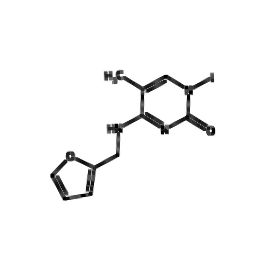 Cc1cn(I)c(=O)nc1NCc1ccco1